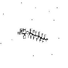 O=C(NO)OC(F)(F)C(F)(F)C(F)(F)C(F)(F)C(F)(F)C(F)(F)F